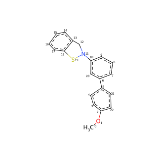 COc1ccc(-c2cccc(N3Cc4ccccc4S3)c2)cc1